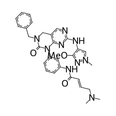 COc1nn(C)cc1Nc1ncc2c(n1)N(c1cccc(NC(=O)/C=C/CN(C)C)c1)C(=O)N(Cc1ccccc1)C2